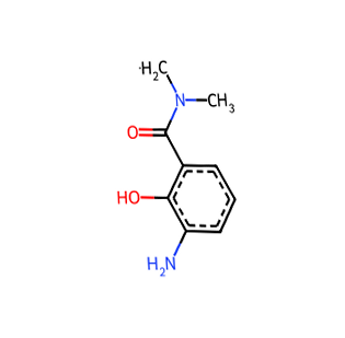 [CH2]N(C)C(=O)c1cccc(N)c1O